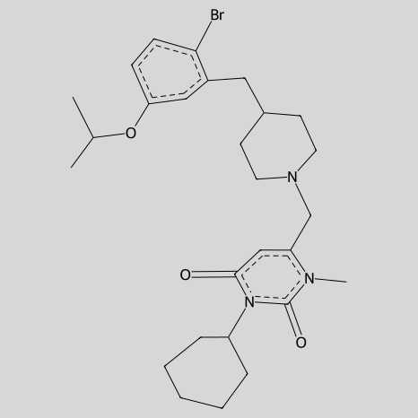 CC(C)Oc1ccc(Br)c(CC2CCN(Cc3cc(=O)n(C4CCCCC4)c(=O)n3C)CC2)c1